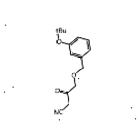 CC(C)(C)Oc1cccc(COCC(=O)CC#N)c1